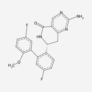 COc1ccc(F)cc1-c1cc(F)ccc1[C@H]1Cc2nc(N)ncc2C(=O)N1